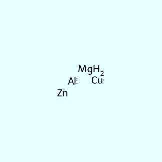 [Al].[Cu].[MgH2].[Zn]